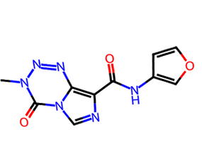 Cn1nnc2c(C(=O)Nc3ccoc3)ncn2c1=O